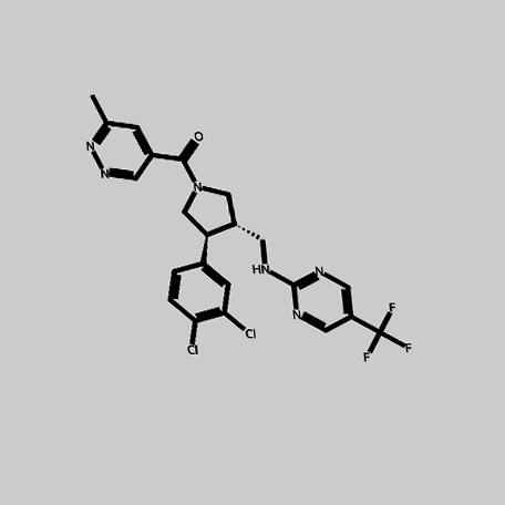 Cc1cc(C(=O)N2C[C@H](CNc3ncc(C(F)(F)F)cn3)[C@@H](c3ccc(Cl)c(Cl)c3)C2)cnn1